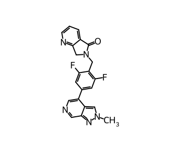 Cn1cc2c(-c3cc(F)c(CN4Cc5ncccc5C4=O)c(F)c3)cncc2n1